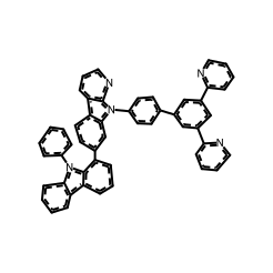 c1ccc(-n2c3ccccc3c3cccc(-c4ccc5c6cccnc6n(-c6ccc(-c7cc(-c8ccccn8)cc(-c8ccccn8)c7)cc6)c5c4)c32)cc1